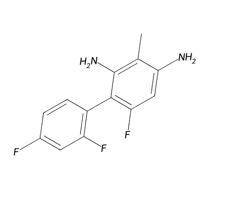 Cc1c(N)cc(F)c(-c2ccc(F)cc2F)c1N